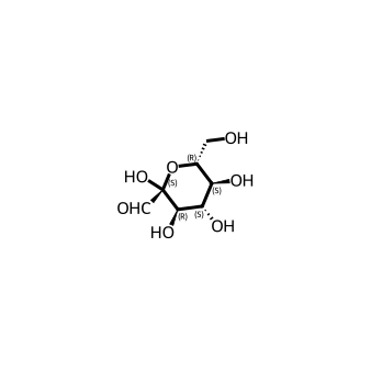 O=C[C@@]1(O)O[C@H](CO)[C@@H](O)[C@H](O)[C@H]1O